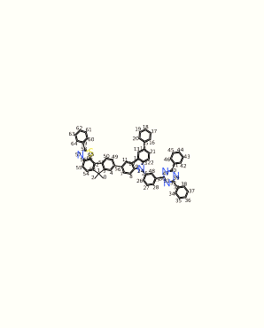 CC1(C)c2cc(-c3ccc4c(c3)c3cc(-c5ccccc5)ccc3n4-c3cccc(-c4nc(-c5ccccc5)nc(-c5ccccc5)n4)c3)ccc2-c2c1ccc1nc(-c3ccccc3)sc21